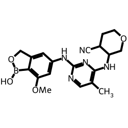 COc1cc(Nc2ncc(C)c(NC3COCCC3C#N)n2)cc2c1B(O)OC2